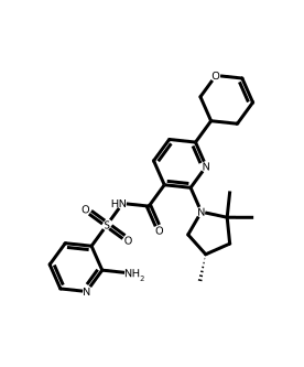 C[C@@H]1CN(c2nc(C3CC=COC3)ccc2C(=O)NS(=O)(=O)c2cccnc2N)C(C)(C)C1